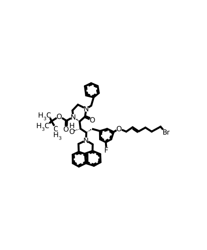 CC(C)(C)OC(=O)N1CCN(Cc2ccccc2)C(=O)[C@@H]1[C@@H](O)[C@H](Cc1cc(F)cc(OCC=CCCCBr)c1)N(Cc1ccccc1)Cc1ccccc1